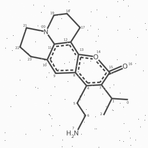 CC(C)c1c(CCN)c2cc3c4c(c2oc1=O)CCCN4CCC3